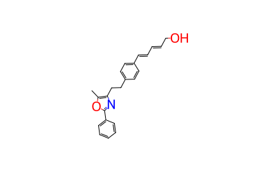 Cc1oc(-c2ccccc2)nc1CCc1ccc(C=CC=CCO)cc1